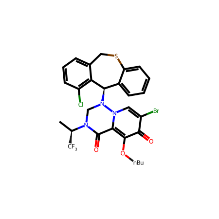 CCCCOc1c2n(cc(Br)c1=O)N([C@@H]1c3ccccc3SCc3cccc(Cl)c31)CN([C@H](C)C(F)(F)F)C2=O